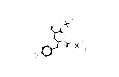 COC(C)(C)OC(=O)C(C=O)CC(Cc1ccc([N+](=O)[O-])cc1)NC(=O)OC(C)(C)C